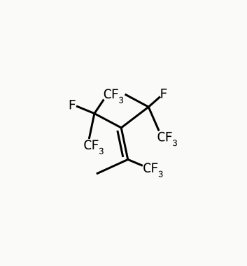 C/C(=C(/C(C)(F)C(F)(F)F)C(F)(C(F)(F)F)C(F)(F)F)C(F)(F)F